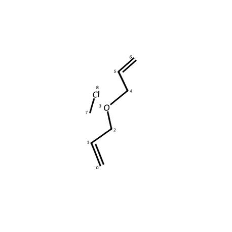 C=CCOCC=C.CCl